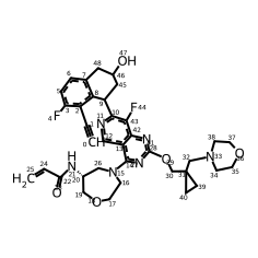 C#Cc1c(F)ccc2c1C(c1ncc3c(N4CCOC[C@H](NC(=O)C=C)C4)nc(OCC4(CN5CCOCC5)CC4)nc3c1F)CC(O)C2